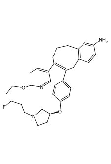 C/C=C(\C=N/COCC)C1=C(\c2ccc(O[C@H]3CCN(CCCF)C3)cc2)Cc2ccc(N)cc2CCC\1